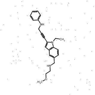 CCn1c(C#CCNc2ccccc2)cc2cc(CNCCOC)ccc21